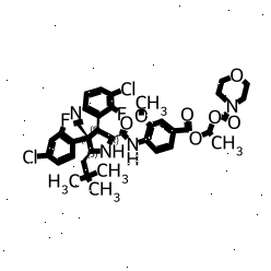 COc1cc(C(=O)OC(C)OC(=O)N2CCOCC2)ccc1NC(=O)[C@@H]1N[C@@H](CC(C)(C)C)[C@](C#N)(c2ccc(Cl)cc2F)[C@H]1c1cccc(Cl)c1F